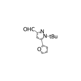 CC(C)(C)n1nc(C=O)cc1-c1ccco1